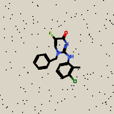 Cc1c(Cl)cccc1Nc1nc(=O)c(F)cn1Cc1ccccc1